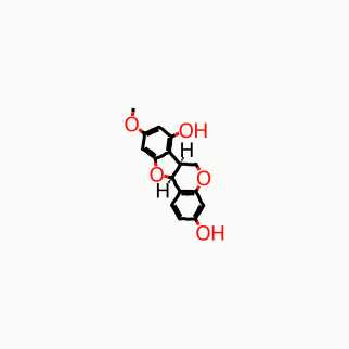 COc1cc(O)c2c(c1)O[C@@H]1c3ccc(O)cc3OC[C@H]21